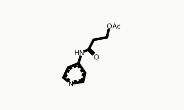 CC(=O)OCCC(=O)Nc1ccncc1